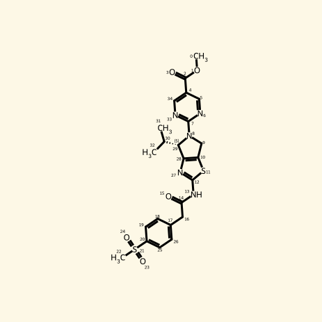 COC(=O)c1cnc(N2Cc3sc(NC(=O)Cc4ccc(S(C)(=O)=O)cc4)nc3[C@@H]2C(C)C)nc1